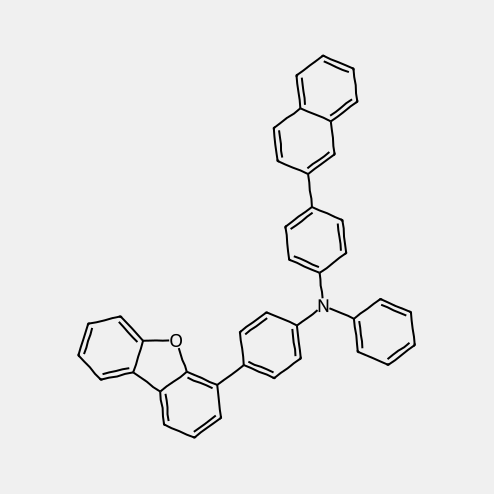 c1ccc(N(c2ccc(-c3ccc4ccccc4c3)cc2)c2ccc(-c3cccc4c3oc3ccccc34)cc2)cc1